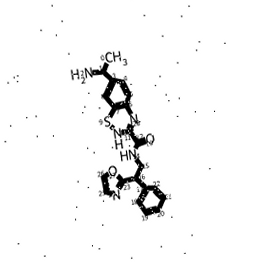 CC(N)c1ccc2c(c1)SNC(C(=O)NCC(c1ccccc1)c1ncco1)=N2